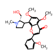 COc1ccccc1-c1cc(=O)c2c(OC)cc(OC)c(C3CCN(C)[C@@H]3CO)c2o1